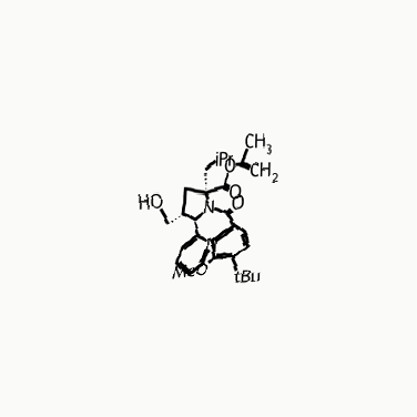 C=C(C)OC(=O)[C@]1(CC(C)C)C[C@@H](CO)[C@H](c2ccccn2)N1C(=O)c1ccc(C(C)(C)C)c(OC)c1